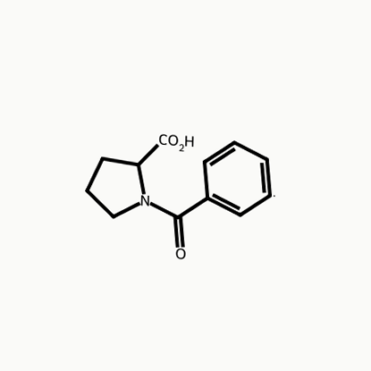 O=C(O)C1CCCN1C(=O)c1c[c]ccc1